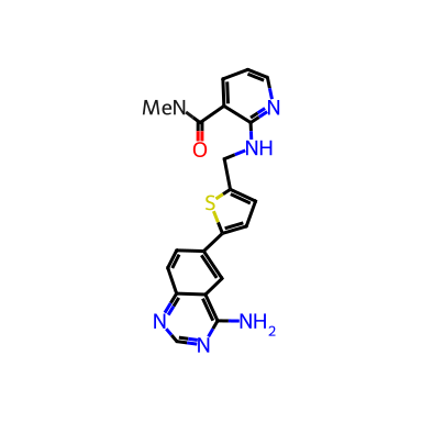 CNC(=O)c1cccnc1NCc1ccc(-c2ccc3ncnc(N)c3c2)s1